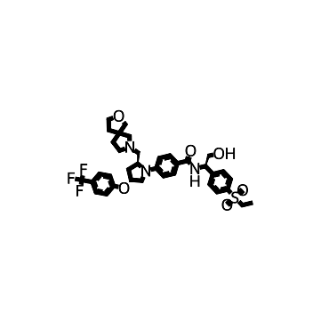 CCS(=O)(=O)c1ccc([C@H](CO)NC(=O)c2ccc(N3C[C@H](Oc4ccc(C(F)(F)F)cc4)C[C@H]3CN3CCC4(CCOC4)C3)cc2)cc1